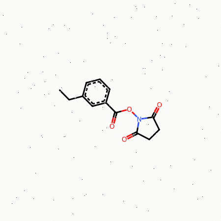 CCc1cccc(C(=O)ON2C(=O)CCC2=O)c1